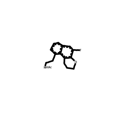 CC(=O)NCCc1cccc2cc(F)c3c(c12)CCCO3